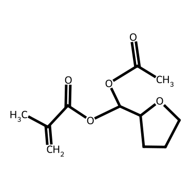 C=C(C)C(=O)OC(OC(C)=O)C1CCCO1